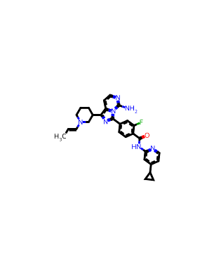 CC=CN1CCCC(c2nc(-c3ccc(C(=O)Nc4cc(C5CC5)ccn4)c(F)c3)n3c(N)nccc23)C1